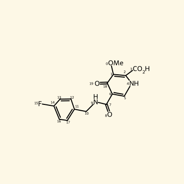 COc1c(C(=O)O)[nH]cc(C(=O)NCc2ccc(F)cc2)c1=O